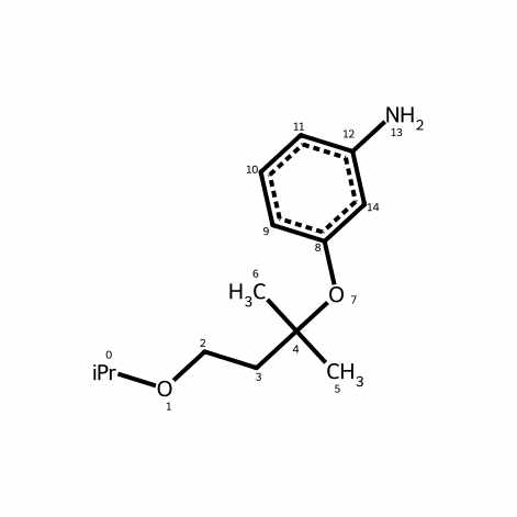 CC(C)OCCC(C)(C)Oc1cccc(N)c1